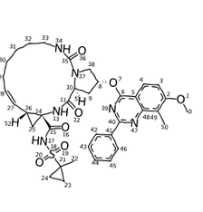 COc1ccc2c(O[C@@H]3C[C@H]4C(=O)N[C@]5(C(=O)NS(=O)(=O)C6(C)CC6)C[C@@H]5/C=C\CCCCCNC(=O)N4C3)nc(-c3ccccc3)nc2c1C